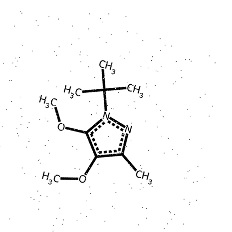 COc1c(C)nn(C(C)(C)C)c1OC